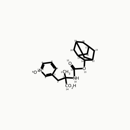 CC(Cc1ccc[n+]([O-])c1)(NC(=O)OC1C2CC3CC(C2)CC1C3)C(=O)O